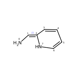 N/C=C1/C=CC=CN1